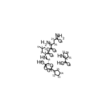 CC(C)C[C@H](NC[C@H](OC(=O)C1CCCC1)C(=O)O)C(=O)OC(=O)[C@@H](N)CCC(N)=O.O=C(O)[C@@H]1CCCN1